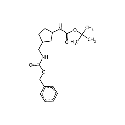 CC(C)(C)OC(=O)NC1CCC(CNC(=O)OCc2ccccc2)C1